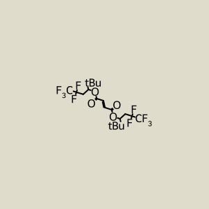 CC(C)(C)C(CC(F)(F)C(F)(F)F)OC(=O)/C=C/C(=O)OC(CC(F)(F)C(F)(F)F)C(C)(C)C